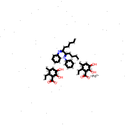 CCCCCC(=Nc1ccccc1)C(CCCC)=Nc1ccccc1.CCc1c(C)cc(O)c(O)c1C(=O)[O-].CCc1c(C)cc(O)c(O)c1C(=O)[O-].[Pd+2]